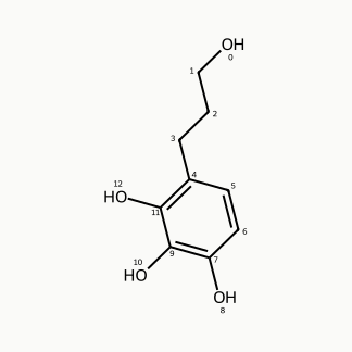 OCCCc1ccc(O)c(O)c1O